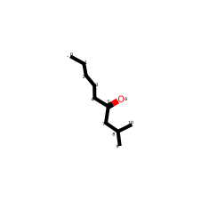 [CH2]CCCCC(=O)CC(C)C